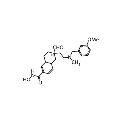 COc1cccc(CN(C)CC[C@@]2(C=O)CCC3C=C(C(=O)NO)C=CC3C2)c1